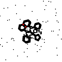 CC(C)(C1CCCC1)C(P(c1ccccc1)c1ccccc1)P(c1ccccc1)c1ccccc1